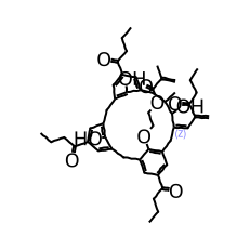 C=C(C)C(=O)OCCOc1c2cc(C(=O)CCC)cc1Cc1cc(C(=O)CCC)cc(c1O)Cc1cc(C(=O)CCC)cc(c1O)CC(C)C(O)/C(=C\C(=C)C(=O)CCC)C2